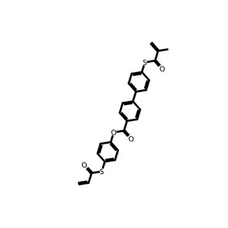 C=CC(=O)Sc1ccc(OC(=O)c2ccc(-c3ccc(SC(=O)C(=C)C)cc3)cc2)cc1